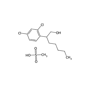 CCCCCC(CO)c1ccc(Cl)cc1Cl.CS(=O)(=O)O